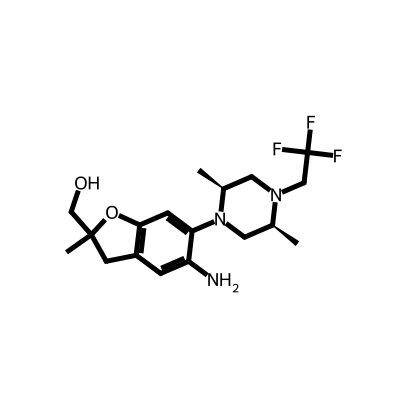 C[C@H]1CN(c2cc3c(cc2N)CC(C)(CO)O3)[C@@H](C)CN1CC(F)(F)F